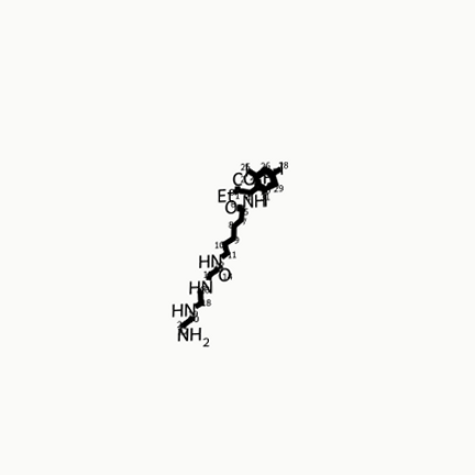 CCC(C(=O)O)C(NC(=O)CCCCCNC(=O)CNCCNCCN)c1c(I)cc(I)cc1I